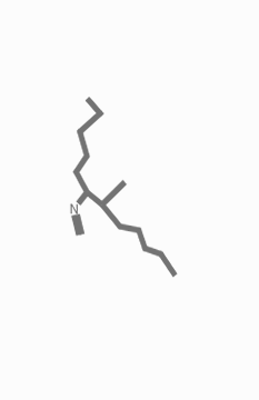 C=NC(CCCCC)C(C)CCCCC